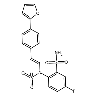 NS(=O)(=O)c1cc(F)ccc1N(C=Cc1ccc(-c2ccco2)cc1)[SH](=O)=O